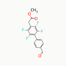 COC(=O)Cc1c(F)c(F)c(-c2ccc(C=O)cc2)c(F)c1F